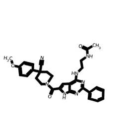 COc1ccc(C2(C#N)CCN(C(=O)c3cc4c(NCCNC(C)=O)nc(-c5ccccc5)nc4[nH]3)CC2)cc1